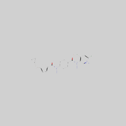 O=C(NC1CCC(C(=O)Nc2cnc(Cl)cc2Cl)CC1)c1ccc(SC2CC2)o1